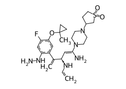 C=CN[C@H](/C=C(\N)N1CCN(C2CCS(=O)(=O)C2)CC1)C(=C)c1cc(OC2(C)CC2)c(F)cc1NN